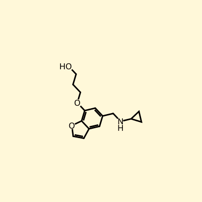 OCCCOc1cc(CNC2CC2)cc2ccoc12